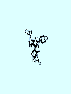 Cc1nc(N)ncc1-c1nc(N2CCOCC2)nc2c1ncn2CCO